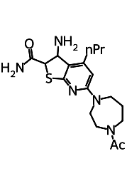 CCCc1cc(N2CCCN(C(C)=O)CC2)nc2c1C(N)C(C(N)=O)S2